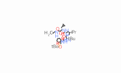 C=CCNC(=O)C(=O)[C@H](CC1CC1)NC(=O)[C@@H]1C[C@@H](C(C)C)CN1C(=O)[C@@H](NC(=O)NC1(CS(=O)(=O)C(C)(C)C)CCCCC1)C(C)(C)C